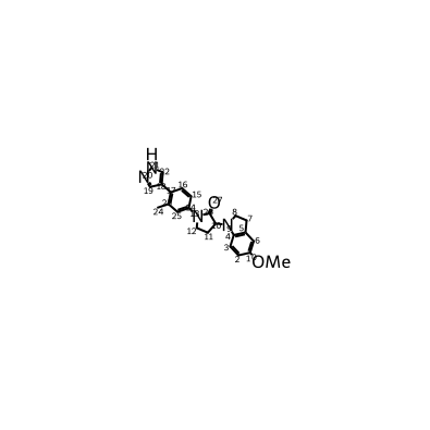 COc1ccc2c(c1)CCN2C1CCN(c2ccc(-c3cn[nH]c3)c(C)c2)C1=O